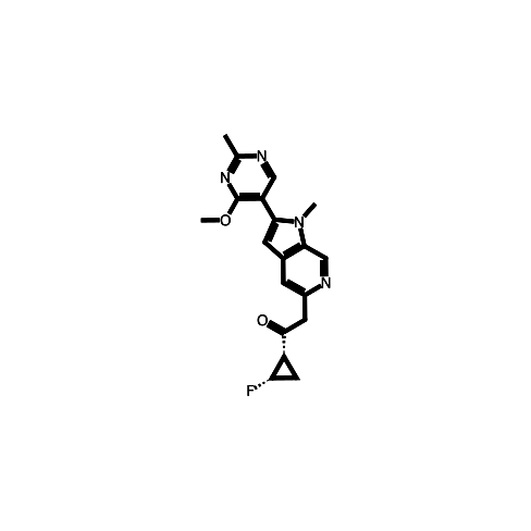 COc1nc(C)ncc1-c1cc2cc(CC(=O)[C@@H]3C[C@@H]3F)ncc2n1C